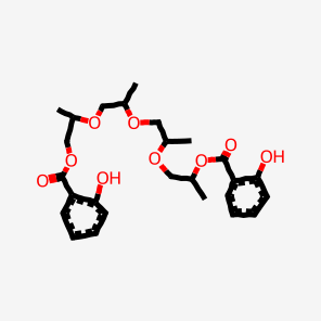 CC(COC(=O)c1ccccc1O)OCC(C)OCC(C)OCC(C)OC(=O)c1ccccc1O